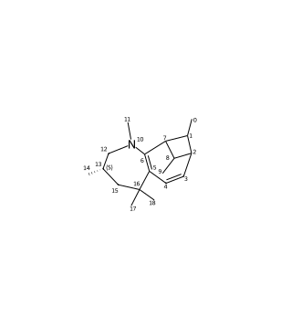 CC1C2C=CC3=C(C1C2C)N(C)C[C@@H](C)CC3(C)C